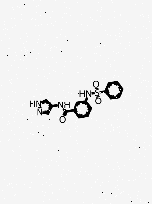 O=C(Nc1cn[nH]c1)c1cccc(NS(=O)(=O)c2ccccc2)c1